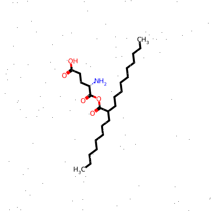 CCCCCCCCCCC(CCCCCCCC)C(=O)OC(=O)[C@@H](N)CCC(=O)O